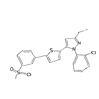 CCc1cc(-c2ccc(-c3cccc(S(C)(=O)=O)c3)s2)n(-c2ccccc2Cl)n1